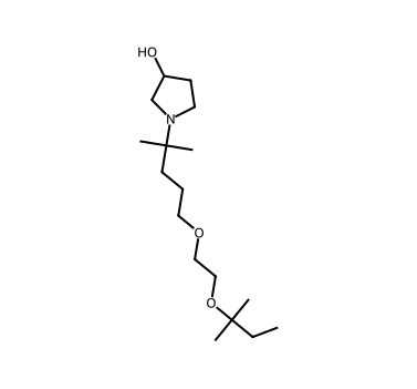 CCC(C)(C)OCCOCCCC(C)(C)N1CCC(O)C1